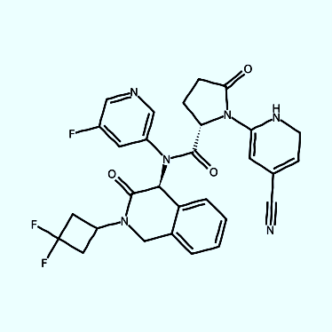 N#CC1=CCNC(N2C(=O)CC[C@H]2C(=O)N(c2cncc(F)c2)[C@@H]2C(=O)N(C3CC(F)(F)C3)Cc3ccccc32)=C1